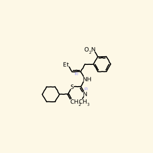 C=C(S/C(=N\C)N/C(=C/CC)Cc1ccccc1[N+](=O)[O-])C1CCCCC1